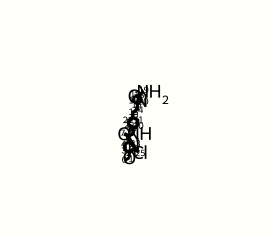 COc1ccc(C(=O)Nc2ccc(CCC3COC(N)=N3)cc2)nc1Cl